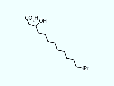 CC(C)CCCCCCCCCC(O)CC(=O)O